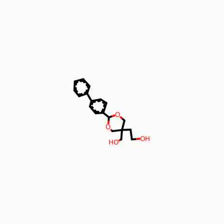 OCCC1(CO)COC(c2ccc(-c3ccccc3)cc2)OC1